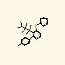 FC(F)C(F)(F)C(F)(F)c1c(Oc2ccccc2)cccc1-c1ccc(I)cc1